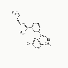 C=C/C=C\C=C(/C)c1cccc(/C(=C/CC)c2cc(Cl)ccc2C)c1